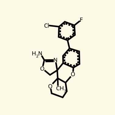 CC12OCCCC1Oc1ccc(-c3cc(F)cc(Cl)c3)cc1C21COC(N)=N1